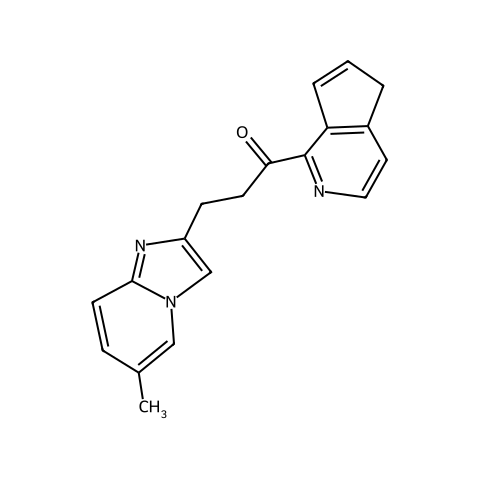 Cc1ccc2nc(CCC(=O)c3nccc4c3C=CC4)cn2c1